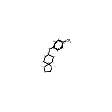 FC(F)(F)c1ccc(SC2CCC3(CC2)OCCO3)cc1